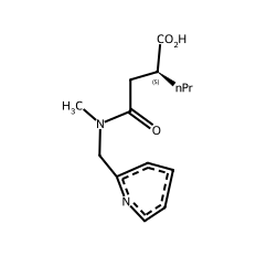 CCC[C@@H](CC(=O)N(C)Cc1ccccn1)C(=O)O